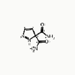 NC(=O)C1(C(N)=O)C=CN=N1